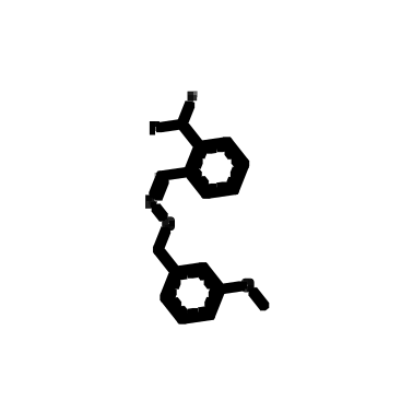 COc1cccc(CO/N=[C]\c2ccccc2C(F)F)c1